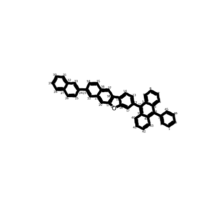 c1ccc(-c2c3ccccc3c(-c3ccc4c(c3)oc3cc5cc(-c6ccc7ccccc7c6)ccc5cc34)c3ccccc23)cc1